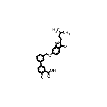 CC(C)CCn1sc2cc(OCc3cccc(-c4ccc(Cl)c(C(=O)O)c4)c3)ccc2c1=O